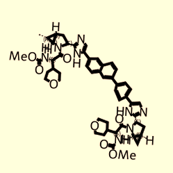 COC(=O)N[C@H](C(=O)N1[C@@H]2[C@H](C)[C@@H]2C[C@H]1c1ncc(-c2ccc3cc(-c4ccc(-c5cnc([C@@H]6C[C@H]7C[C@H]7N6C(=O)[C@@H](NC(=O)OC)C6CCOCC6)[nH]5)cc4)ccc3c2)[nH]1)C1CCOCC1